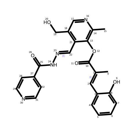 C/C(=C\c1ccccc1O)C(=O)Oc1c(C)ncc(CO)c1/C=N/NC(=O)c1ccncc1